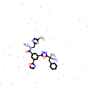 Cc1cnc(CN(C)C(=O)c2cc(-c3ncco3)cc(-c3nnc([C@](C)(N)Cc4ccccc4)o3)c2)s1